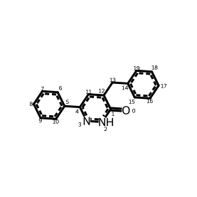 O=c1[nH]nc(-c2ccccc2)cc1Cc1ccccc1